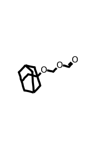 O=COCOC12CC3CC(CC(C3)C1)C2